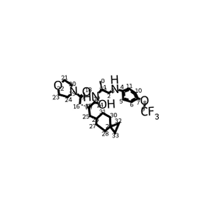 C[C@@H](CNc1ccc(OC(F)(F)F)cc1)NC(O)[C@@H](CC(=O)N1CCOCC1)CC1CCC2(CC1)CC2